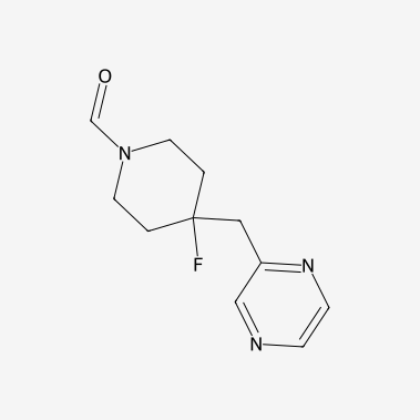 O=CN1CCC(F)(Cc2cnccn2)CC1